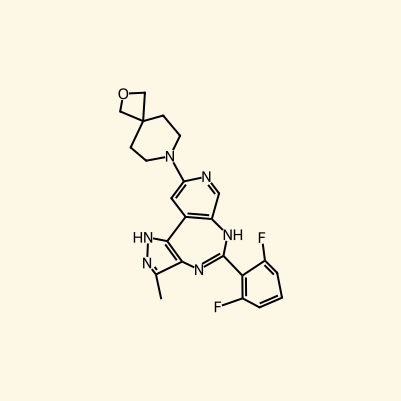 Cc1n[nH]c2c1N=C(c1c(F)cccc1F)Nc1cnc(N3CCC4(CC3)COC4)cc1-2